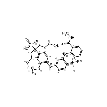 CNC(=O)c1ccccc1Nc1nc(Nc2ccc(C(CCOC)(CCOC)P(=O)(O)O)cc2OC)ncc1C(F)(F)F